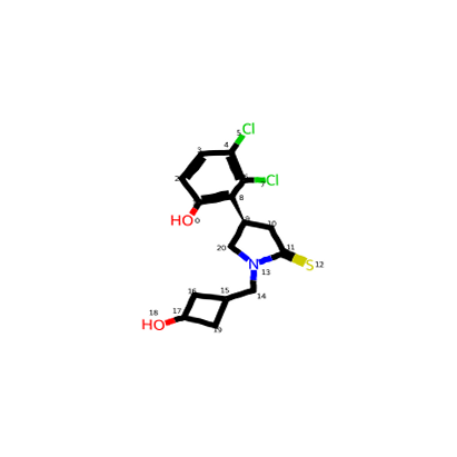 Oc1ccc(Cl)c(Cl)c1[C@H]1CC(=S)N(CC2CC(O)C2)C1